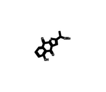 COC(C)c1cc2c(s1)C(=O)c1cccc(O)c1C2=O